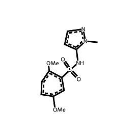 COc1ccc(OC)c(S(=O)(=O)Nc2ccnn2C)c1